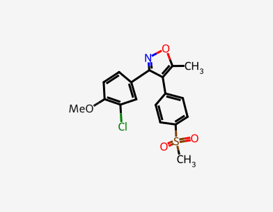 COc1ccc(-c2noc(C)c2-c2ccc(S(C)(=O)=O)cc2)cc1Cl